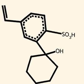 C=Cc1ccc(S(=O)(=O)O)c(C2(O)CCCCC2)c1